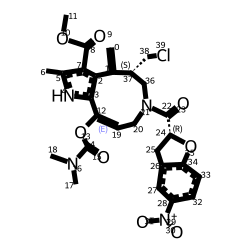 C=C1c2c([nH]c(C)c2C(=O)OC)/C(OC(=O)N(C)C)=C\CN(C(=O)[C@H]2Cc3cc([N+](=O)[O-])ccc3O2)C[C@H]1CCl